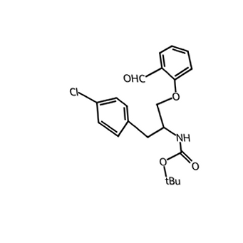 CC(C)(C)OC(=O)NC(COc1ccccc1C=O)Cc1ccc(Cl)cc1